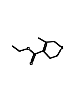 CCOC(=O)C1=C(C)CSCC1